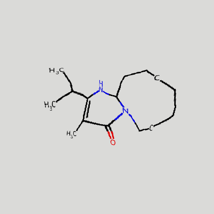 CC1=C(C(C)C)NC2CCCCCCCN2C1=O